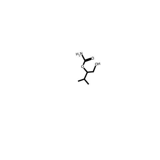 CC(C)C(CO)OC(N)=O